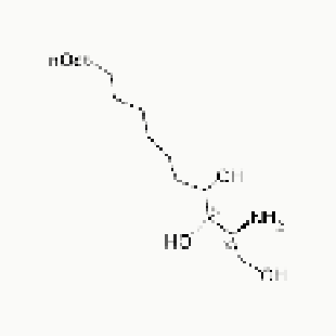 CCCCCCCCCCCCCCC(O)[C@@H](O)[C@@H](N)CO